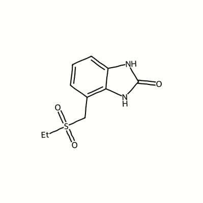 CCS(=O)(=O)Cc1cccc2[nH]c(=O)[nH]c12